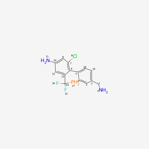 NCc1ccc(-c2c(Cl)cc(N)cc2C(F)(F)P)cc1